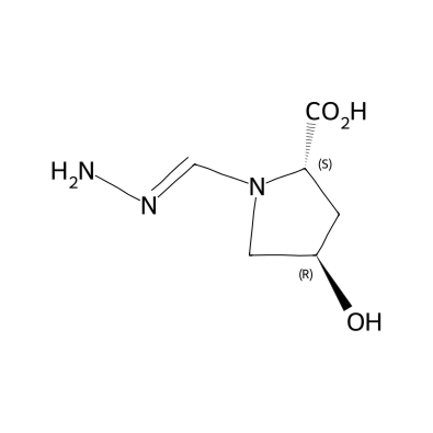 NN=CN1C[C@H](O)C[C@H]1C(=O)O